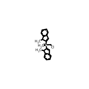 [CH2]=[Zr]([CH2]Cl)([C]1=Cc2ccccc2C1C)[C]1=Cc2ccccc2C1C